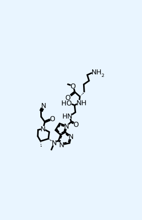 COC(=O)[C@H](CCCCN)NC(O)CNC(=O)n1ccc2c(N(C)[C@H]3CN(C(=O)CC#N)CC[C@H]3C)ncnc21